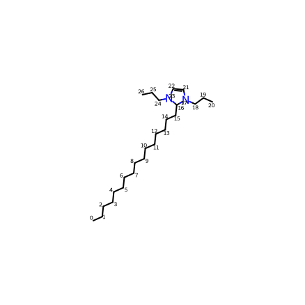 CCCCCCCCCCCCCCCCC1N(CCC)C=CN1CCC